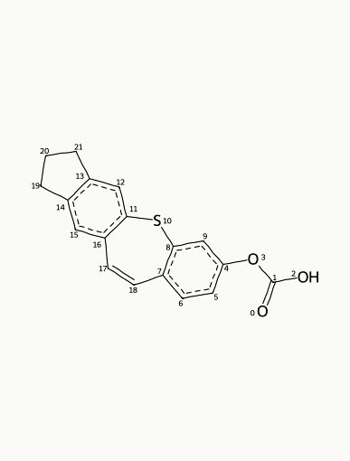 O=C(O)Oc1ccc2c(c1)Sc1cc3c(cc1C=C2)CCC3